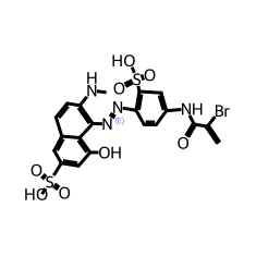 C=C(Br)C(=O)Nc1ccc(/N=N/c2c(NC)ccc3cc(S(=O)(=O)O)cc(O)c23)c(S(=O)(=O)O)c1